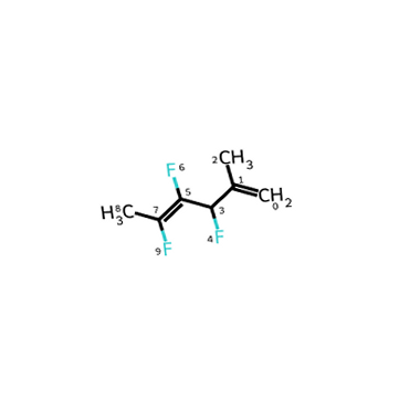 C=C(C)C(F)C(F)=C(C)F